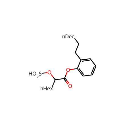 CCCCCCCCCCCCc1ccccc1OC(=O)C(CCCCCC)OS(=O)(=O)O